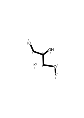 OCC(O)CO[S-].[K+]